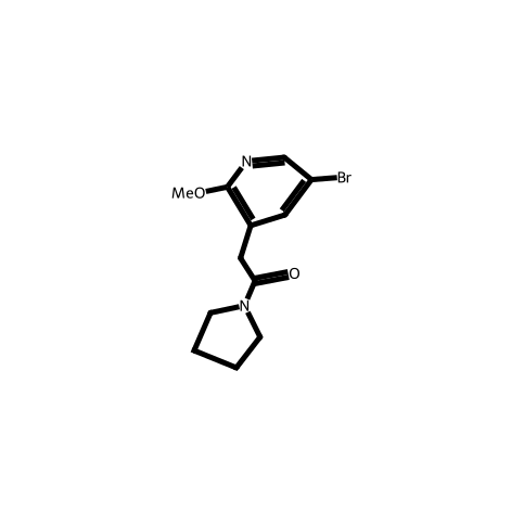 COc1ncc(Br)cc1CC(=O)N1CCCC1